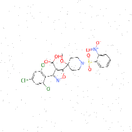 COC1(c2onc(-c3c(Cl)cc(Cl)cc3Cl)c2C(=O)O)CCN(S(=O)(=O)c2ccccc2[N+](=O)[O-])CC1